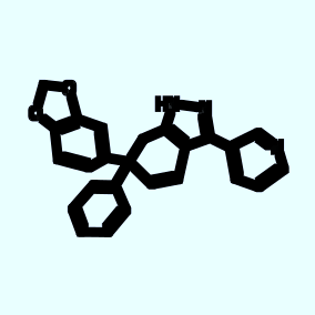 C1=CC(c2ccccc2)(c2ccc3c(c2)OCO3)Cc2[nH]nc(-c3cccnc3)c21